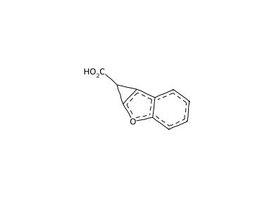 O=C(O)C1c2oc3ccccc3c21